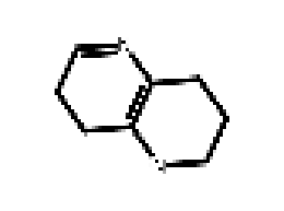 C1=NC2=C(CC1)[N]CCC2